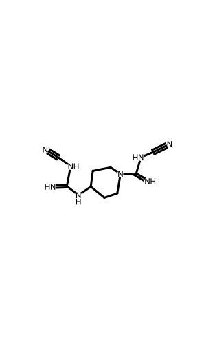 N#CNC(=N)NC1CCN(C(=N)NC#N)CC1